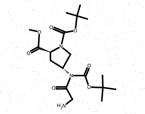 COC(=O)[C@@H]1C[C@@H](N(C(=O)CN)C(=O)OC(C)(C)C)CN1C(=O)OC(C)(C)C